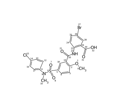 COc1ccc(S(=O)(=O)N(C)c2ccc(Cl)cc2)cc1C(=O)Nc1ccc(Br)cc1C(=O)O